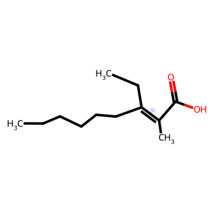 CCCCCC/C(CC)=C(\C)C(=O)O